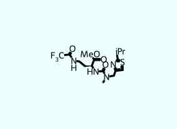 COC(=O)[C@H](CCNC(=O)C(F)(F)F)NC(=O)N(C)Cc1csc(C(C)C)n1